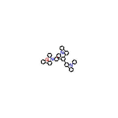 c1ccc(N(c2ccc(-c3cc(-c4ccc5c6ccccc6n(-c6ccccc6)c5c4)cc(-c4cccc5c6ccccc6n(-c6ccccc6)c45)c3)cc2)c2cccc3c2oc2ccccc23)cc1